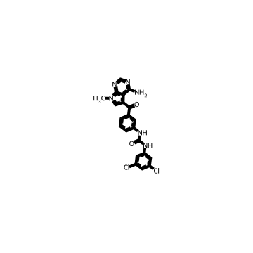 Cn1cc(C(=O)c2cccc(NC(=O)Nc3cc(Cl)cc(Cl)c3)c2)c2c(N)ncnc21